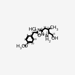 COc1ccc(Cc2nc(CC(C)C(N)CO)no2)cc1.Cl